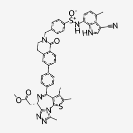 COC(=O)C[C@@H]1N=C(c2ccc(-c3ccc4c(c3)CCN(Cc3ccc([S+]([O-])Nc5ccc(C)c6c(C#N)c[nH]c56)cc3)C4=O)cc2)c2c(sc(C)c2C)-n2c(C)nnc21